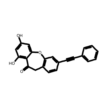 O=C1Cc2ccc(C#Cc3ccccc3)cc2Oc2cc(O)cc(O)c21